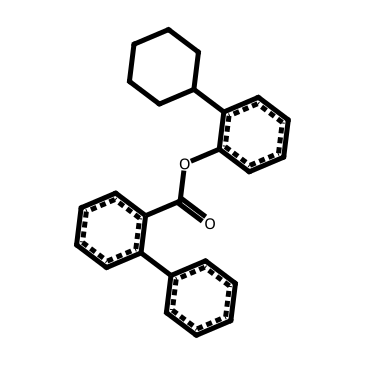 O=C(Oc1ccccc1C1CCCCC1)c1ccccc1-c1ccccc1